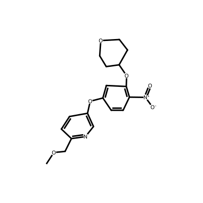 COCc1ccc(Oc2ccc([N+](=O)[O-])c(OC3CCOCC3)c2)cn1